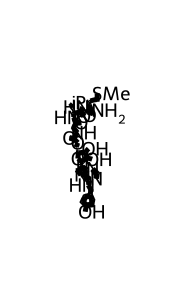 CSCC[C@H](NC(=O)[C@H](CC(C)C)NC(=O)CNC(=O)OC[C@H]1O[C@@H](n2cnc3c(NCc4ccc(O)cc4)ncnc32)C(O)C1O)C(N)=O